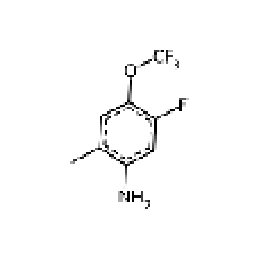 Cc1cc(OC(F)(F)F)c(F)cc1N